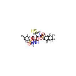 Cc1ccc(S(=O)(=O)N(C)NC(=O)O[C@H]2C[C@@H](S)CN2S(=O)(=O)c2ccc3ccccc3c2)cc1